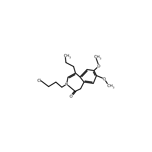 CCCC1=CN(CCCCl)C(=O)Cc2cc(OC)c(OC)cc21